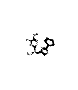 COC(=O)[C@@H](NC(=O)N(C)Cc1csc(C2CCCC2)n1)C(C)C